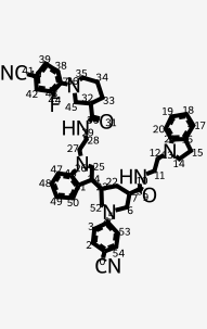 N#Cc1ccc(N2CC(C(=O)NCCN3CCc4ccccc43)CC(C3CN(CCNC(=O)C4CCCN(c5ccc(C#N)cc5F)C4)c4ccccc43)C2)cc1